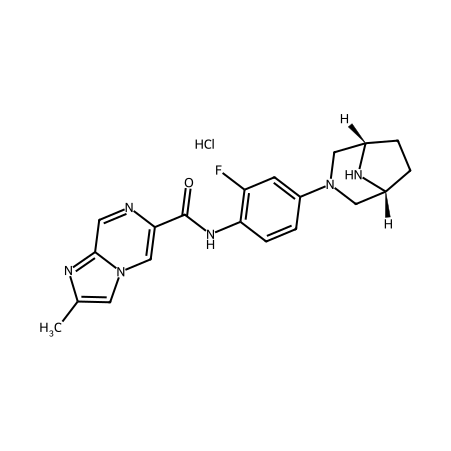 Cc1cn2cc(C(=O)Nc3ccc(N4C[C@H]5CC[C@@H](C4)N5)cc3F)ncc2n1.Cl